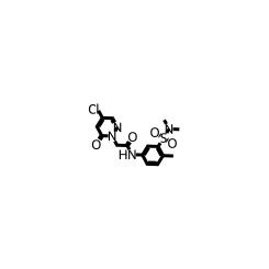 Cc1ccc(NC(=O)Cn2ncc(Cl)cc2=O)cc1S(=O)(=O)N(C)C